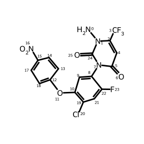 Nn1c(C(F)(F)F)cc(=O)n(-c2cc(Oc3ccc([N+](=O)[O-])cc3)c(Cl)cc2F)c1=O